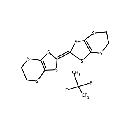 C1CSC2=C(S1)SC(=C1SC3=C(SCCS3)S1)S2.CC(F)(F)C(F)(F)F